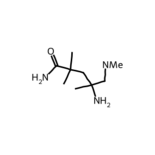 CNCC(C)(N)CC(C)(C)C(N)=O